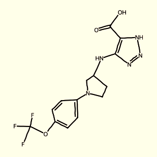 O=C(O)c1[nH]nnc1NC1CCN(c2ccc(OC(F)(F)F)cc2)C1